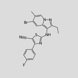 CCc1nn2cc(C)c(Br)cc2c1Nc1nc(-c2ccc(F)cc2)c(C#N)s1